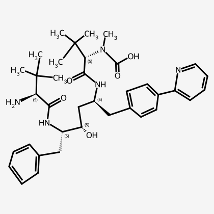 CN(C(=O)O)[C@H](C(=O)N[C@@H](Cc1ccc(-c2ccccn2)cc1)C[C@H](O)[C@H](Cc1ccccc1)NC(=O)[C@@H](N)C(C)(C)C)C(C)(C)C